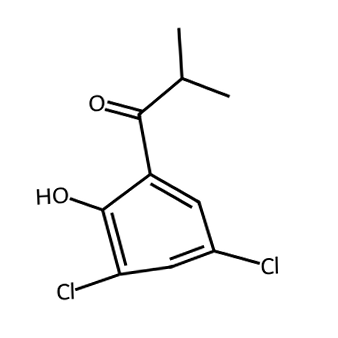 CC(C)C(=O)c1cc(Cl)cc(Cl)c1O